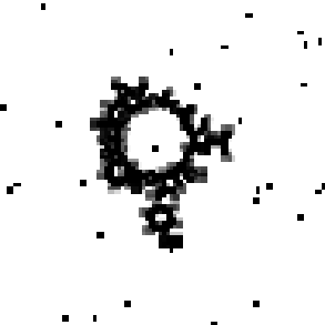 CC[C@@H]1/C=C(\C)C[C@H](C)C[C@H](OC)[C@H]2O[C@@](O)(C(=O)C(=O)N3CCCC[C@H]3C(=O)O[C@H](/C(C)=C/[C@H]3CC[C@H](O)CC3)[C@H](C)[C@@H](O)C/C1=N/N=C(C)C)[C@H](C)C[C@@H]2OC